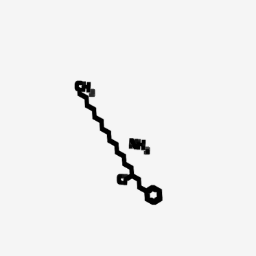 CCCCCCCCCCCCCCCC(Cl)CCc1ccccc1.N